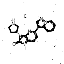 Cl.O=c1[nH]c2ccc(-c3cnn4ccccc34)nc2n1[C@@H]1CCNC1